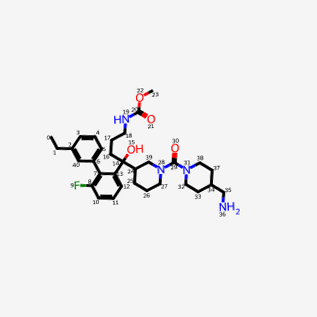 CCc1cccc(-c2c(F)cccc2C(O)(CCCNC(=O)OC)C2CCCN(C(=O)N3CCC(CN)CC3)C2)c1